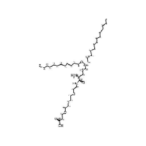 CCCCCCCCCCCCOC[C@H](CSC[C@H](N)C(=O)NCCOCCOCCOCCC(=O)O)OCCCCCCCCCCCC